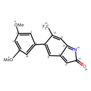 COc1cc(OC)cc(-c2cc3c(cc2C(F)(F)F)=NC(=O)C=3)c1